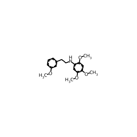 COc1cccc(CCNc2cc(OC)c(OC)cc2OC)c1